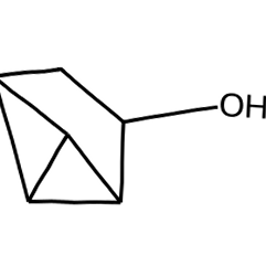 OC1CC2C3C1C23